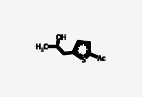 CC(=O)c1ccc(CC(C)O)s1